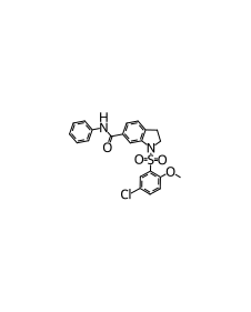 COc1ccc(Cl)cc1S(=O)(=O)N1CCc2ccc(C(=O)Nc3ccccc3)cc21